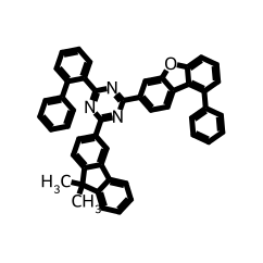 CC1(C)c2ccccc2-c2cc(-c3nc(-c4ccc5c(c4)oc4cccc(-c6ccccc6)c45)nc(-c4ccccc4-c4ccccc4)n3)ccc21